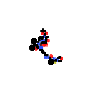 C[C@@H](C(=O)NC(C)(O)C(=O)N1CCC[C@H]1CN[C@H](C(=O)NCCCCCCNC(=O)c1cccc2sc(N3CCOCC3)nc12)C(c1ccccc1)c1ccccc1)N(C)C(=O)OC(C)(C)C